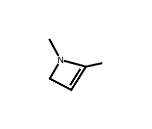 CC1=CCN1C